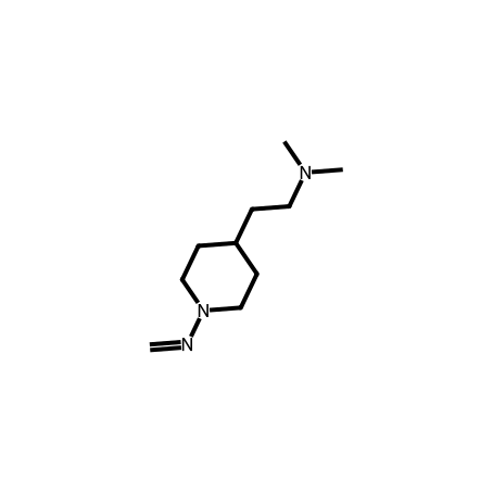 C=NN1CCC(CCN(C)C)CC1